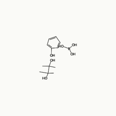 CC(C)(O)C(C)(C)O.OB(O)O.Oc1ccccc1